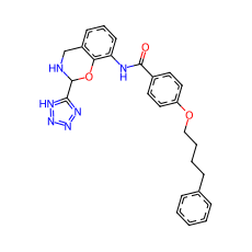 O=C(Nc1cccc2c1OC(c1nnn[nH]1)NC2)c1ccc(OCCCCc2ccccc2)cc1